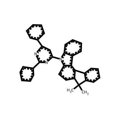 CC1(C)c2ccccc2-c2c1ccc1c2c2ccccc2n1-c1cc(-c2ccccc2)nc(-c2ccccc2)n1